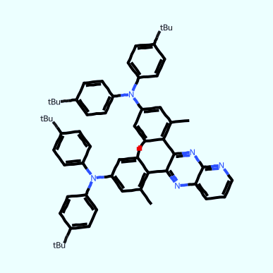 Cc1cc(N(c2ccc(C(C)(C)C)cc2)c2ccc(C(C)(C)C)cc2)cc(C)c1-c1nc2cccnc2nc1-c1c(C)cc(N(c2ccc(C(C)(C)C)cc2)c2ccc(C(C)(C)C)cc2)cc1C